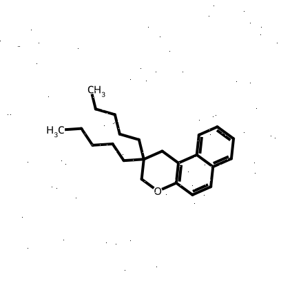 CCCCCC1(CCCCC)COc2ccc3ccccc3c2C1